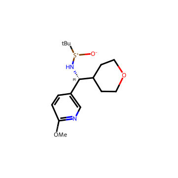 COc1ccc([C@H](N[S+]([O-])C(C)(C)C)C2CCOCC2)cn1